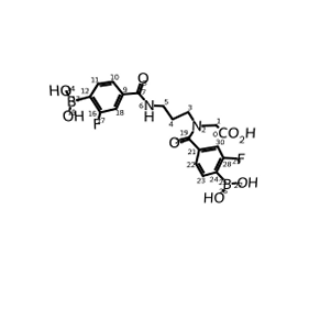 O=C(O)CN(CCCNC(=O)c1ccc(B(O)O)c(F)c1)C(=O)c1ccc(B(O)O)c(F)c1